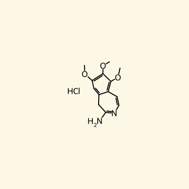 COc1cc2c(c(OC)c1OC)C=CN=C(N)C2.Cl